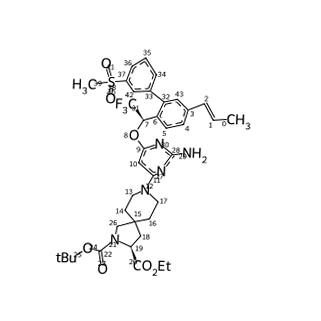 CC=Cc1ccc([C@@H](Oc2cc(N3CCC4(CC3)C[C@@H](C(=O)OCC)N(C(=O)OC(C)(C)C)C4)nc(N)n2)C(F)(F)F)c(-c2cccc(S(C)(=O)=O)c2)c1